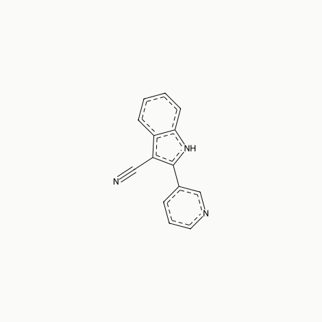 N#Cc1c(-c2cccnc2)[nH]c2ccccc12